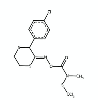 CN(SC(Cl)(Cl)Cl)C(=O)ON=C1SCCSC1c1ccc(Cl)cc1